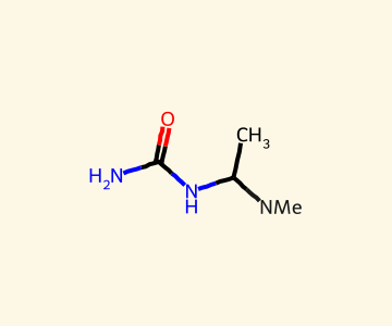 CNC(C)NC(N)=O